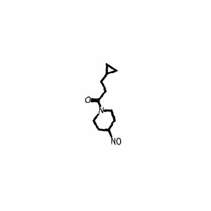 O=NC1CCN(C(=O)CCC2CC2)CC1